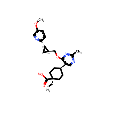 CC[C@]1(C(=O)O)CC[C@@H](c2cnc(C)nc2OC[C@H]2C[C@@H]2c2ccc(OC)cn2)CC1